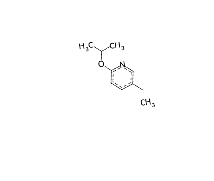 CCc1ccc(OC(C)C)nc1